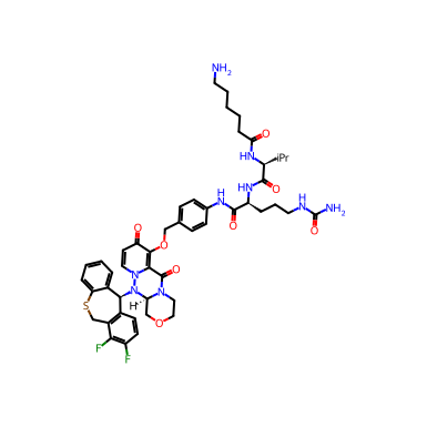 CC(C)[C@H](NC(=O)CCCCCN)C(=O)N[C@@H](CCCNC(N)=O)C(=O)Nc1ccc(COc2c3n(ccc2=O)N([C@@H]2c4ccccc4SCc4c2ccc(F)c4F)[C@@H]2COCCN2C3=O)cc1